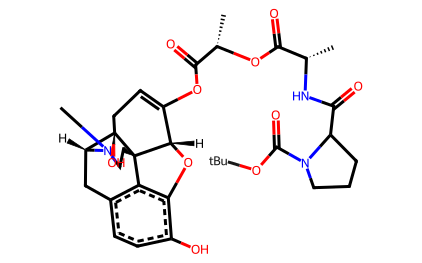 C[C@H](NC(=O)C1CCCN1C(=O)OC(C)(C)C)C(=O)O[C@@H](C)C(=O)OC1=CC[C@@]2(O)[C@H]3Cc4ccc(O)c5c4[C@@]2(CCN3C)[C@H]1O5